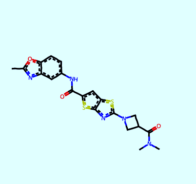 Cc1nc2cc(NC(=O)c3cc4sc(N5CC(C(=O)N(C)C)C5)nc4s3)ccc2o1